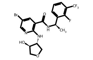 C[C@@H](NC(=O)c1cc(Br)cnc1N[C@@H]1COC[C@H]1O)c1cccc(C(F)(F)F)c1F